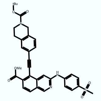 COC(=O)c1ccc2cnc(Nc3ccc(S(C)(=O)=O)cc3)cc2c1C#Cc1ccc2c(c1)CCN(C(=O)OC(C)(C)C)C2